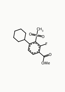 COC(=O)c1ccc(C2CCCCC2)c(S(C)(=O)=O)c1F